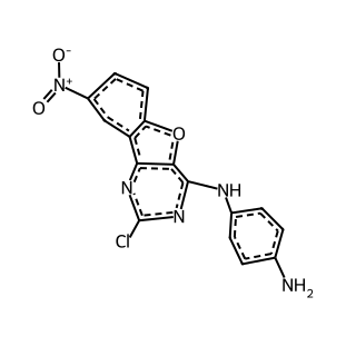 Nc1ccc(Nc2nc(Cl)nc3c2oc2ccc([N+](=O)[O-])cc23)cc1